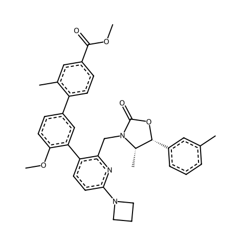 COC(=O)c1ccc(-c2ccc(OC)c(-c3ccc(N4CCC4)nc3CN3C(=O)O[C@H](c4cccc(C)c4)[C@@H]3C)c2)c(C)c1